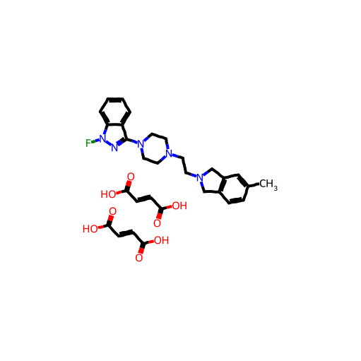 Cc1ccc2c(c1)CN(CCN1CCN(c3nn(F)c4ccccc34)CC1)C2.O=C(O)C=CC(=O)O.O=C(O)C=CC(=O)O